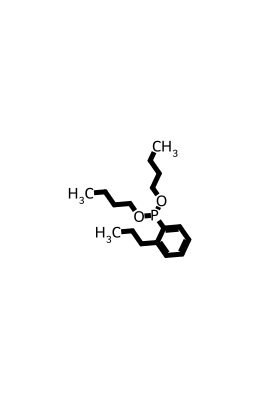 CCCCOP(OCCCC)c1ccccc1CCC